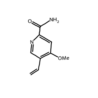 C=Cc1cnc(C(N)=O)cc1OC